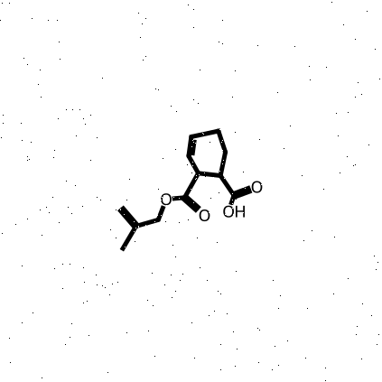 C=C(C)COC(=O)C1C=CCCC1C(=O)O